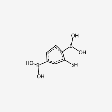 OB(O)c1ccc(B(O)O)c(S)c1